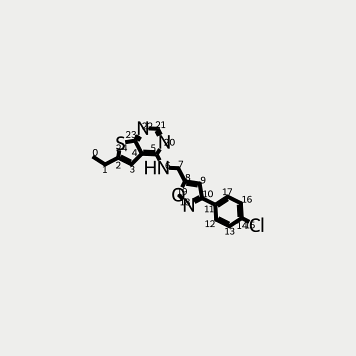 CCc1cc2c(NCc3cc(-c4ccc(Cl)cc4)no3)ncnc2s1